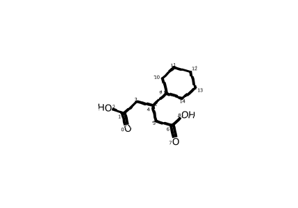 O=C(O)C[C](CC(=O)O)C1CCCCC1